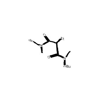 CCCCN(C)C(=O)C(CC)C(=O)N(C)CCCC